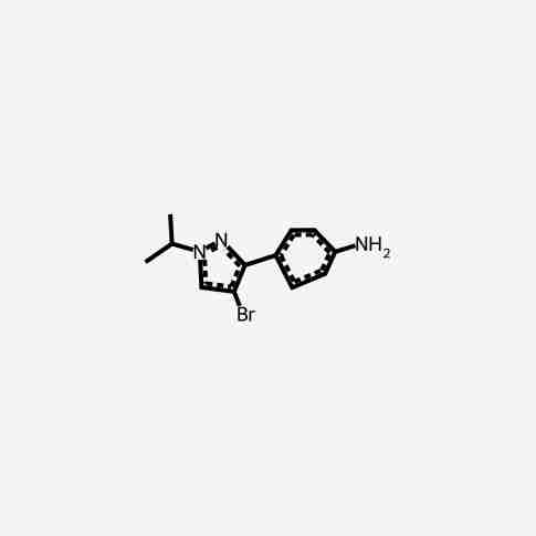 CC(C)n1cc(Br)c(-c2ccc(N)cc2)n1